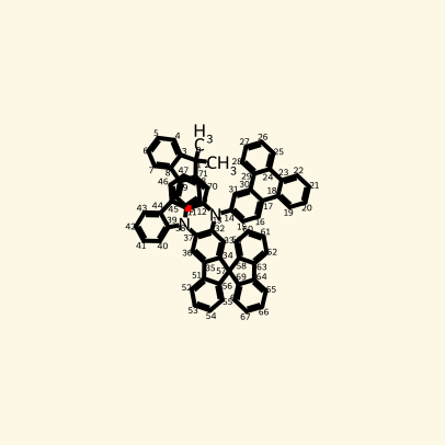 CC1(C)c2ccccc2-c2ccc(N(c3ccc4c5ccccc5c5ccccc5c4c3)c3cc4c(cc3-n3c5ccccc5c5ccccc53)-c3ccccc3C43c4ccccc4-c4ccccc43)cc21